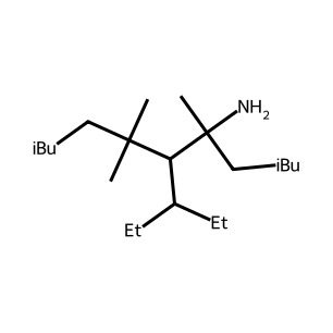 CCC(C)CC(C)(C)C(C(CC)CC)C(C)(N)CC(C)CC